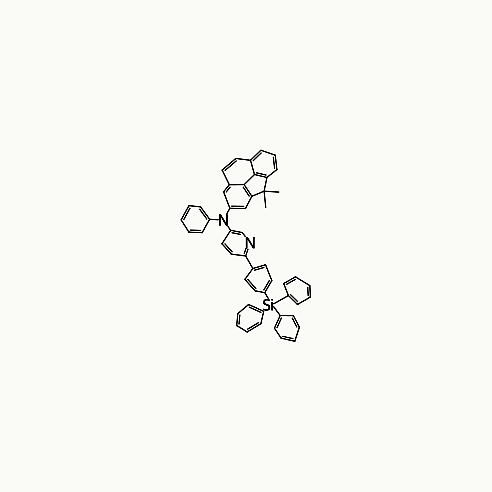 CC1(C)c2cccc3ccc4cc(N(c5ccccc5)c5ccc(-c6ccc([Si](c7ccccc7)(c7ccccc7)c7ccccc7)cc6)nc5)cc1c4c23